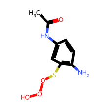 CC(=O)Nc1ccc(N)c(SOOO)c1